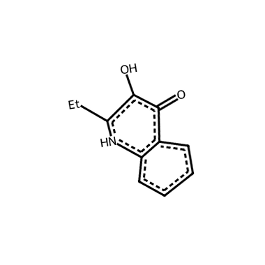 CCc1[nH]c2ccccc2c(=O)c1O